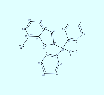 COC(c1ccccc1)(c1ccccc1)c1cc2cccc(O)c2o1